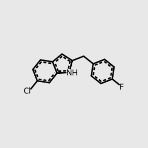 Fc1ccc(Cc2cc3ccc(Cl)cc3[nH]2)cc1